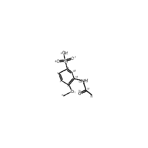 COc1ccc(S(=O)(=O)O)cc1NC(C)=O